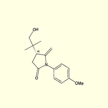 C=C1[C@@H](C(C)(C)CO)CC(=O)N1c1ccc(OC)cc1